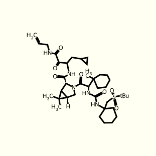 C=CCNC(=O)C(=O)C(CC1CC1)NC(=O)[C@@H]1C2[C@H](CN1C(=O)C(NC(=O)NC1(CS(=O)(=O)C(C)(C)C)CCCCC1)C1(C)CCCCC1)C2(C)C